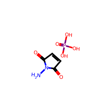 NN1C(=O)C=CC1=O.O=P(O)(O)O